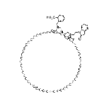 O=C(O)c1ccccc1CN1CN(c2ccc(F)cc2)C2(CCCCCCCCCCCCCCCCCCCCCCCCCCCCCCCCCCCCCCCCCCCCCCCCN(CCCN3C(=O)Cc4ccccc43)CC2)C1=O